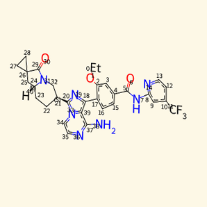 CCOc1cc(C(=O)Nc2cc(C(F)(F)F)ccn2)ccc1-c1nc([C@H]2CC[C@@H]3CC4(CC4)C(=O)N3C2)n2ccnc(N)c12